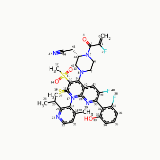 C=C(F)C(=O)N1CCN(c2c(S(C)(=O)=O)c(=S)n(-c3c(C)ccnc3C(C)C)c3nc(-c4c(O)cccc4F)c(F)cc23)C[C@@H]1CC#N